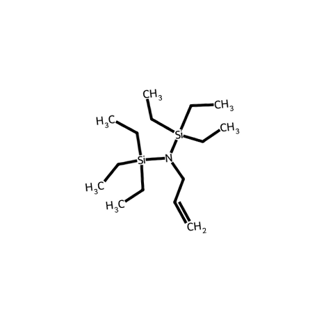 C=CCN([Si](CC)(CC)CC)[Si](CC)(CC)CC